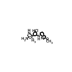 COc1cnc2c(Nc3cccc(C4(C)CNCC(N)O4)c3)cccc2c1.Cl